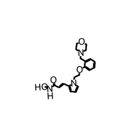 O=C(C=Cc1cccn1CCOc1ccccc1CN1CCOCC1)NO